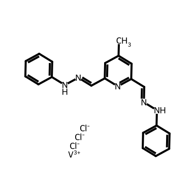 Cc1cc(C=NNc2ccccc2)nc(C=NNc2ccccc2)c1.[Cl-].[Cl-].[Cl-].[V+3]